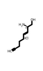 C#CCCCC=C[C@@H](N)CO.Cl